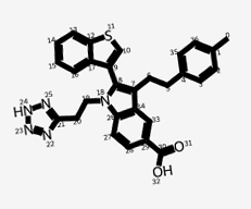 Cc1ccc(CCc2c(-c3csc4ccccc34)n(CCc3nn[nH]n3)c3ccc(C(=O)O)cc23)cc1